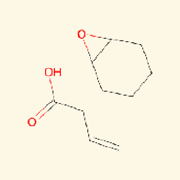 C1CCC2OC2C1.C=CCC(=O)O